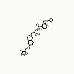 Cc1ncoc1COc1ccc2c(c1)CCN(CC(O)CNC(=O)c1ccnc(NC3CCC3)c1)C2